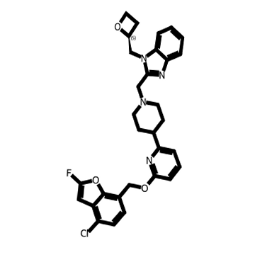 Fc1cc2c(Cl)ccc(COc3cccc(C4CCN(Cc5nc6ccccc6n5C[C@@H]5CCO5)CC4)n3)c2o1